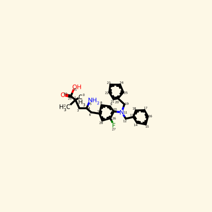 CC(C)(CC(N)Cc1ccc(N(Cc2ccccc2)Cc2ccccc2)c(F)c1)C(=O)O